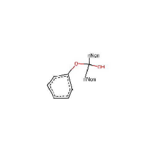 CCCCCCCCCC(O)(CCCCCCCCC)Oc1ccccc1